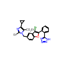 CCOC(=O)c1c(C2CC2)nc(CC)n1Cc1ccc2oc(-c3ccccc3-c3nnn[nH]3)c(Br)c2c1